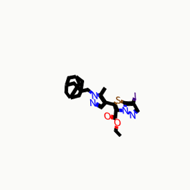 CCOC(=O)c1c(-c2cnn(CC34CC5CC(CC(C5)C3)C4)c2C)sc2c(I)cnn12